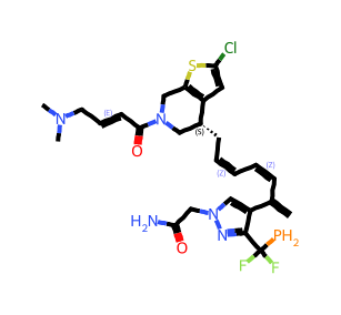 C=C(/C=C\C=C/C[C@@H]1CN(C(=O)/C=C/CN(C)C)Cc2sc(Cl)cc21)c1cn(CC(N)=O)nc1C(F)(F)P